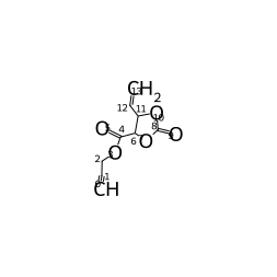 C#CCOC(=O)C1OC(=O)OC1C=C